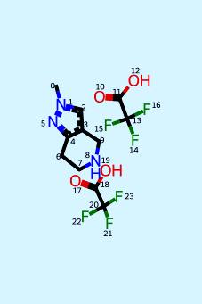 Cn1cc2c(n1)CCNC2.O=C(O)C(F)(F)F.O=C(O)C(F)(F)F